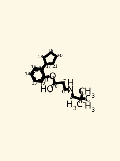 CC(C)(C)CNCCC(O)Oc1ccccc1C1CCCC1